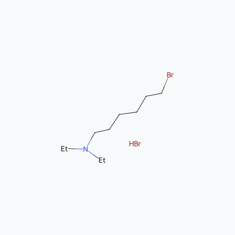 Br.CCN(CC)CCCCCCBr